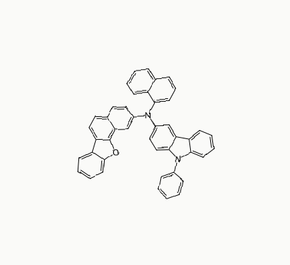 c1ccc(-n2c3ccccc3c3cc(N(c4ccc5ccc6c7ccccc7oc6c5c4)c4cccc5ccccc45)ccc32)cc1